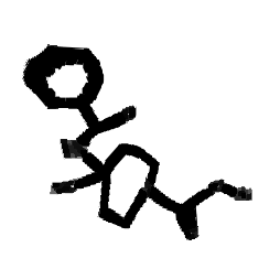 CC(C)(C)OC(=O)N1CCC(C#N)(NC(=O)c2ccccc2)CC1